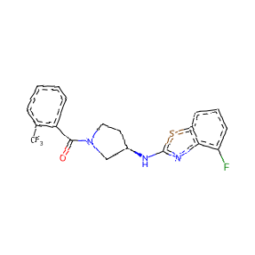 O=C(c1ccccc1C(F)(F)F)N1CC[C@@H](Nc2nc3c(F)cccc3s2)C1